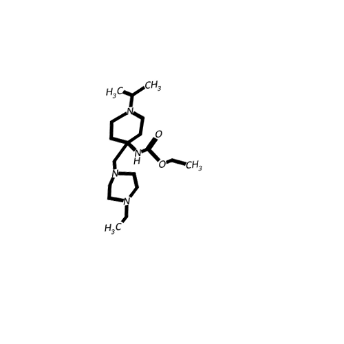 CCOC(=O)NC1(CN2CCN(CC)CC2)CCN(C(C)C)CC1